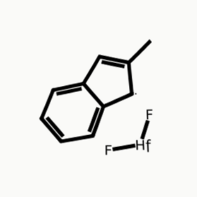 CC1=Cc2ccccc2[CH]1.[F][Hf][F]